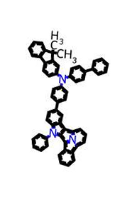 CC1(C)c2ccccc2-c2ccc(N(c3ccc(-c4ccccc4)cc3)c3ccc(-c4ccc5c(c4)c4c(c6c7ccccc7c7cccc4n76)n5-c4ccccc4)cc3)cc21